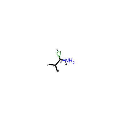 CC(C)C(N)Cl